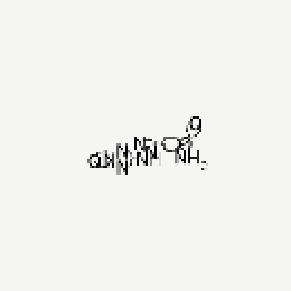 Nc1cc(-c2ccnc(Nc3cnc(N4CCOCC4)nc3)n2)ccc1OC1CCOCC1